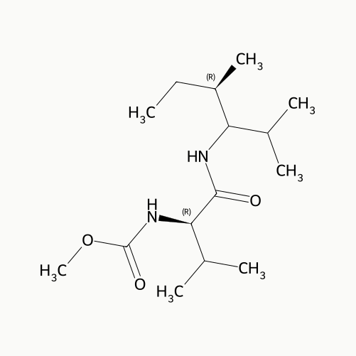 CC[C@@H](C)C(NC(=O)[C@H](NC(=O)OC)C(C)C)C(C)C